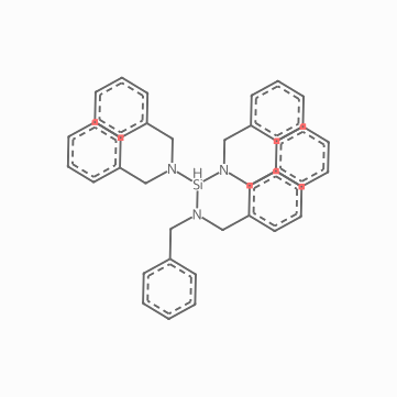 c1ccc(CN(Cc2ccccc2)[SiH](N(Cc2ccccc2)Cc2ccccc2)N(Cc2ccccc2)Cc2ccccc2)cc1